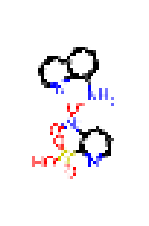 Nc1cccc2cccnc12.O=[N+]([O-])c1cccnc1S(=O)(=O)O